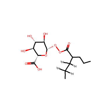 [2H]C([2H])(C)C([2H])([2H])C(CCC)C(=O)OO[C@@H]1O[C@H](C(=O)O)[C@@H](O)[C@H](O)[C@H]1O